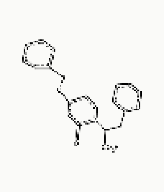 O=C(O)C(Cc1ccccc1)n1ccc(OCc2ccccc2)cc1=O